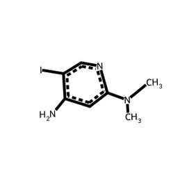 CN(C)c1cc(N)c(I)cn1